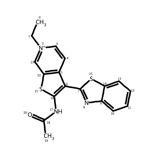 CC[n+]1ccc2c(-c3nc4ccccc4s3)c(NC(C)=O)sc2c1